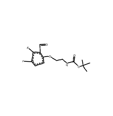 CC(C)(C)OC(=O)NCCOc1ccc(F)c(F)c1C=O